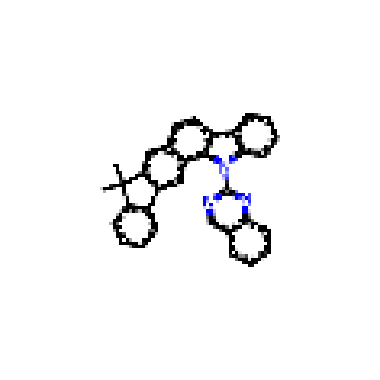 CC1(C)c2ccccc2-c2cc3c(ccc4c5ccccc5n(-c5ncc6ccccc6n5)c34)cc21